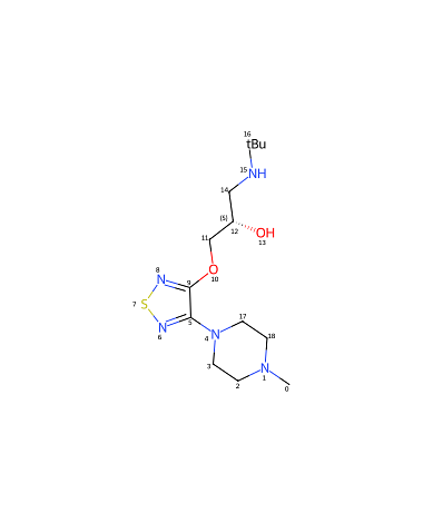 CN1CCN(c2nsnc2OC[C@@H](O)CNC(C)(C)C)CC1